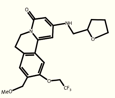 COCc1cc2c(cc1OCC(F)(F)F)-c1cc(NCC3CCCO3)cc(=O)n1CC2